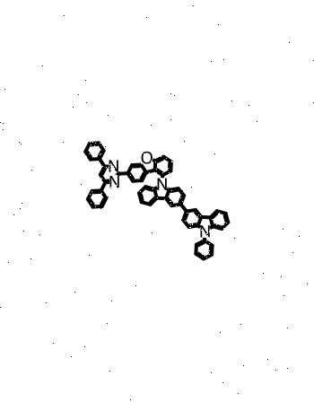 c1ccc(-c2cc(-c3ccccc3)nc(-c3ccc4c(c3)oc3cccc(-n5c6ccccc6c6cc(-c7ccc8c(c7)c7ccccc7n8-c7ccccc7)ccc65)c34)n2)cc1